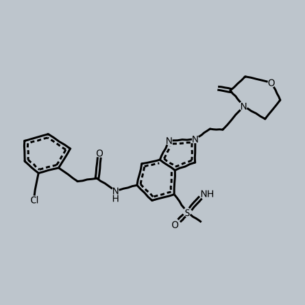 C=C1COCCN1CCn1cc2c(S(C)(=N)=O)cc(NC(=O)Cc3ccccc3Cl)cc2n1